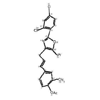 CC(=O)Oc1ccc(C=CCc2nc(-c3ccc(Cl)cc3Cl)oc2C(C)C)cc1C